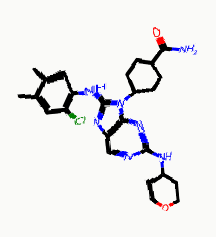 Cc1cc(Cl)c(Nc2nc3cnc(NC4CCOCC4)nc3n2C2CCC(C(N)=O)CC2)cc1C